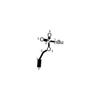 C#CCOS(=O)(=O)CCCC